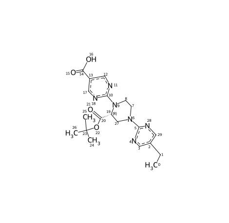 CCc1cnc(N2CCN(c3ncc(C(=O)O)cn3)[C@@H](C(=O)OC(C)(C)C)C2)nc1